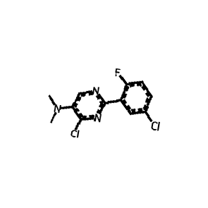 CN(C)c1cnc(-c2cc(Cl)ccc2F)nc1Cl